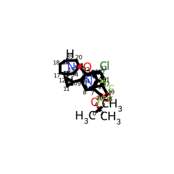 CC(C)(C)OC(=O)c1cc(C2CC2)c(CN2[C@@H]3CC[C@H]2C[C@@H](Oc2ncc(C(F)(F)F)cc2Cl)C3)cc1F